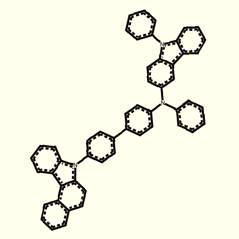 c1ccc(N(c2ccc(-c3ccc(-n4c5ccccc5c5c6ccccc6ccc54)cc3)cc2)c2ccc3c(c2)c2ccccc2n3-c2ccccc2)cc1